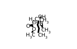 CC#N.CCCCCC.CCOC(C)=O.CO